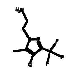 Cc1c(Cl)c(C(F)(F)F)nn1CCN